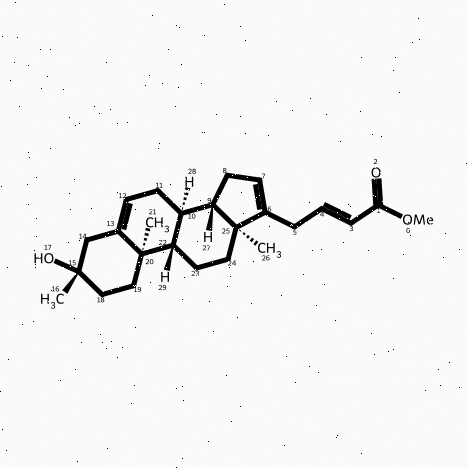 COC(=O)/C=C/CC1=CC[C@H]2[C@@H]3CC=C4C[C@@](C)(O)CC[C@]4(C)[C@H]3CC[C@]12C